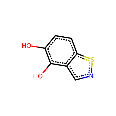 Oc1ccc2sn[c]c2c1O